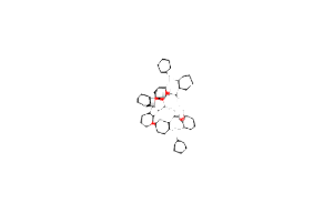 O=C(N[C@@H]1C2c3cccc(c3)C23c2ccccc2C3[C@H]1NC(=O)c1ccccc1P(c1ccccc1)c1ccccc1)c1ccccc1P(c1ccccc1)c1ccccc1